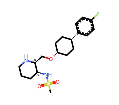 CS(=O)(=O)N[C@H]1CCCN[C@H]1CO[C@H]1CC[C@@H](c2ccc(F)cc2)CC1